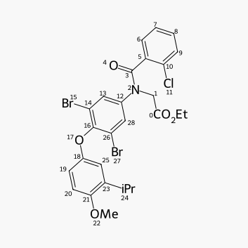 CCOC(=O)CN(C(=O)c1ccccc1Cl)c1cc(Br)c(Oc2ccc(OC)c(C(C)C)c2)c(Br)c1